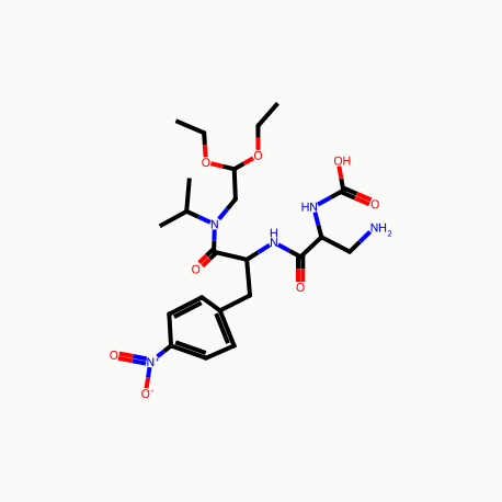 CCOC(CN(C(=O)C(Cc1ccc([N+](=O)[O-])cc1)NC(=O)C(CN)NC(=O)O)C(C)C)OCC